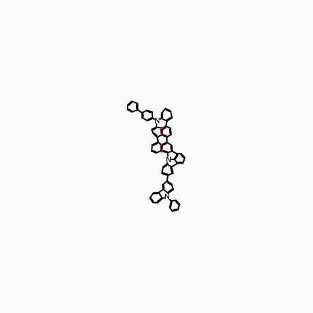 c1ccc(-c2ccc(N(c3ccc(-c4ccccc4)cc3)c3ccccc3-c3ccc(-c4ccc5c(c4)c4cccc6c7cc(-c8ccc9c(c8)c8ccccc8n9-c8ccccc8)ccc7n5c46)cc3)cc2)cc1